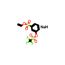 C=COS(=O)(=O)c1cccc(OS(=O)(=O)C(F)(F)F)c1.[NaH]